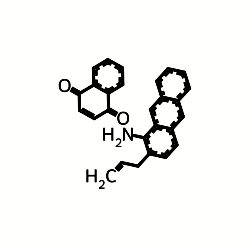 C=CCc1ccc2cc3ccccc3cc2c1N.O=C1C=CC(=O)c2ccccc21